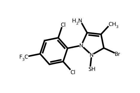 CC1=C(N)N(c2c(Cl)cc(C(F)(F)F)cc2Cl)N(S)C1Br